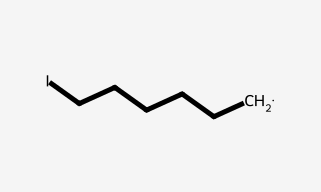 [CH2]CCCCCI